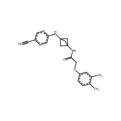 C#Cc1cnc(NC23CC(NC(=O)COc4ccc(C)c(C)c4)(C2)C3)cn1